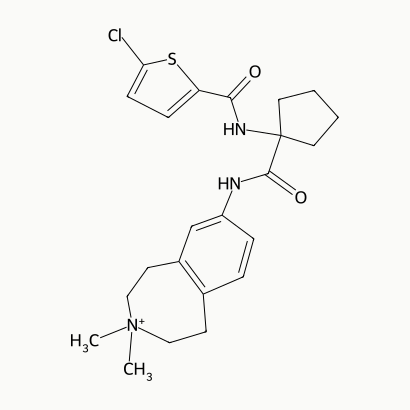 C[N+]1(C)CCc2ccc(NC(=O)C3(NC(=O)c4ccc(Cl)s4)CCCC3)cc2CC1